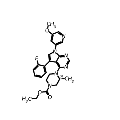 CCOC(=O)N1CCN(c2ncnc3c2c(-c2ccccc2F)cn3-c2cncc(OC)c2)[C@@H](C)C1